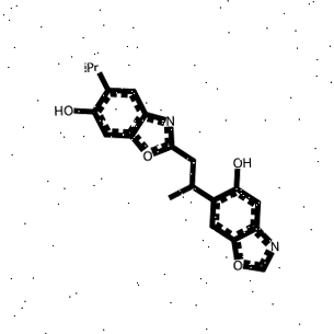 CC(C)c1cc2nc(CC(C)c3cc4ocnc4cc3O)oc2cc1O